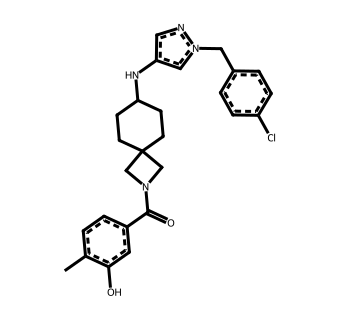 Cc1ccc(C(=O)N2CC3(CCC(Nc4cnn(Cc5ccc(Cl)cc5)c4)CC3)C2)cc1O